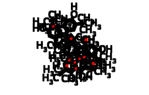 CC(C)(C)c1cc(C(C)(OP(OC(C)(c2cc(C(C)(C)C)c(O)cc2C(C)(C)C)c2cc(C(C)(C)C)c(O)cc2C(C)(C)C)OC(C)(c2cc(C(C)(C)C)c(O)cc2C(C)(C)C)c2cc(C(C)(C)C)c(O)cc2C(C)(C)C)c2cc(C(C)(C)C)c(O)cc2C(C)(C)C)c(C(C)(C)C)cc1O